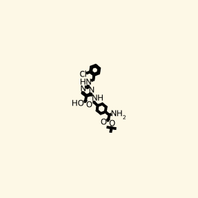 CC(C)(C)OC(=O)C(N)C1CCC(CNc2nc(NCc3ccccc3Cl)ncc2C(=O)O)CC1